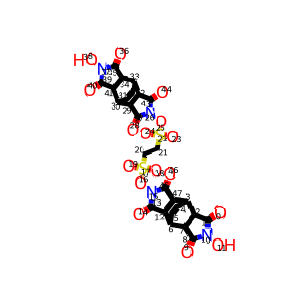 O=C1C2C3C=CC(C2C(=O)N1O)C1C(=O)N(OS(=O)(=O)CCS(=O)(=O)ON2C(=O)C4C5C=CC(C6C(=O)N(O)C(=O)C56)C4C2=O)C(=O)C31